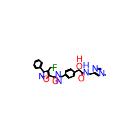 Cn1cnc(CNC(=O)C(O)c2ccc(-c3noc(-c4onc(-c5ccccc5)c4CF)n3)cc2)c1